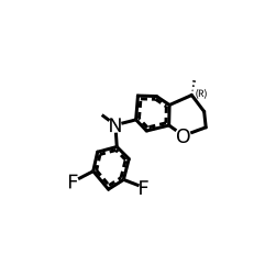 C[C@@H]1CCOc2cc(N(C)c3cc(F)cc(F)c3)ccc21